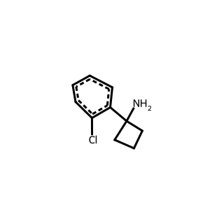 NC1(c2ccccc2Cl)CCC1